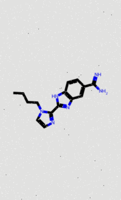 CCCCn1ccnc1-c1nc2cc(C(=N)N)ccc2[nH]1